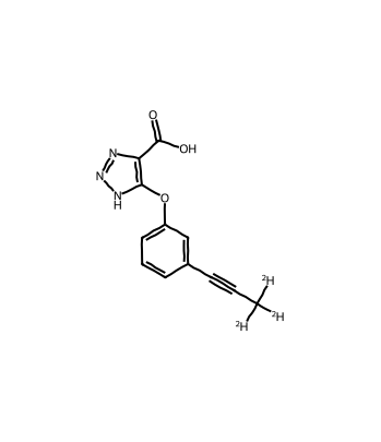 [2H]C([2H])([2H])C#Cc1cccc(Oc2[nH]nnc2C(=O)O)c1